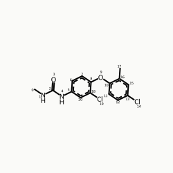 CNC(=O)Nc1ccc(Oc2ccc(Cl)cc2C)c(Cl)c1